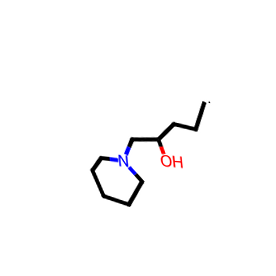 [CH2]CCC(O)CN1CCCCC1